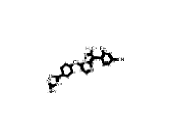 Cc1nn2c(OC3CCC(c4nc(C(C)C)no4)CC3)ccnc2c1-c1ccc(C#N)cc1F